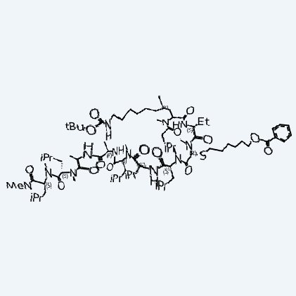 CC[C@H](NC(=O)C(C[C@H](C)CCCCCCNC(=O)OC(C)(C)C)N(C)C(=O)CC(C)C)C(=O)N(C)[C@H](SCCCCCCOC(=O)c1ccccc1)C(=O)N(C)[C@@H](CC(C)C)C(=O)N[C@H](C(=O)N(C)[C@@H](CC(C)C)C(=O)N[C@H](C)C(=O)NC(C)C(=O)N(C)[C@@H](CC(C)C)C(=O)N(C)[C@@H](CC(C)C)C(=O)NC)C(C)C